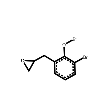 CCOc1c(Br)cccc1CC1CO1